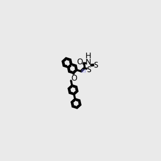 O=C1NC(=S)S/C1=C/c1cc2ccccc2cc1OCc1ccc(-c2ccccc2)cc1